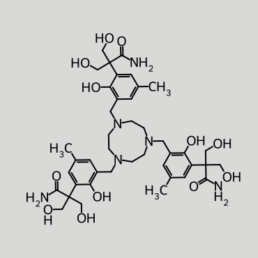 Cc1cc(CN2CCN(Cc3cc(C)cc(C(CO)(CO)C(N)=O)c3O)CCN(Cc3cc(C)cc(C(CO)(CO)C(N)=O)c3O)CC2)c(O)c(C(CO)(CO)C(N)=O)c1